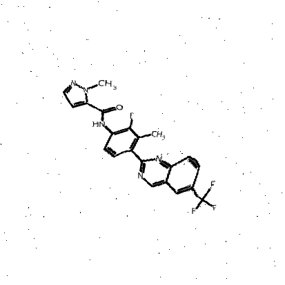 Cc1c(-c2ncc3cc(C(F)(F)F)ccc3n2)ccc(NC(=O)c2ccnn2C)c1F